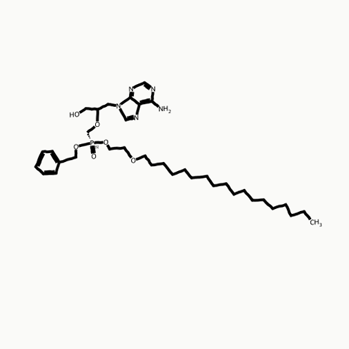 CCCCCCCCCCCCCCCCCCOCCO[P@](=O)(COC(CO)Cn1cnc2c(N)ncnc21)OCc1ccccc1